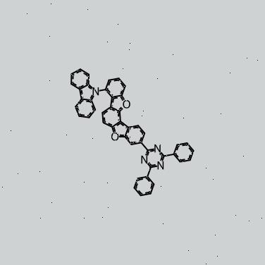 c1ccc(-c2nc(-c3ccccc3)nc(-c3ccc4c(c3)oc3ccc5c(oc6cccc(-n7c8ccccc8c8ccccc87)c65)c34)n2)cc1